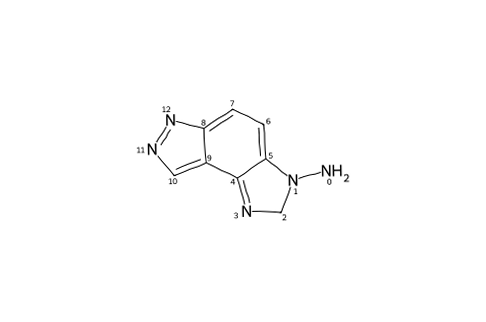 NN1CN=c2c1ccc1c2=CN=N1